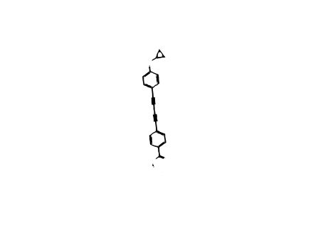 COC(=O)c1ccc(C#CC#Cc2ccc(OC3CC3)cc2)cc1